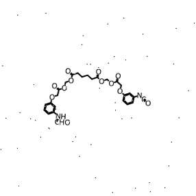 O=C=Nc1cccc(OCC(=O)OCOC(=O)CCCCC(=O)OCOC(=O)COc2cccc(NC=O)c2)c1